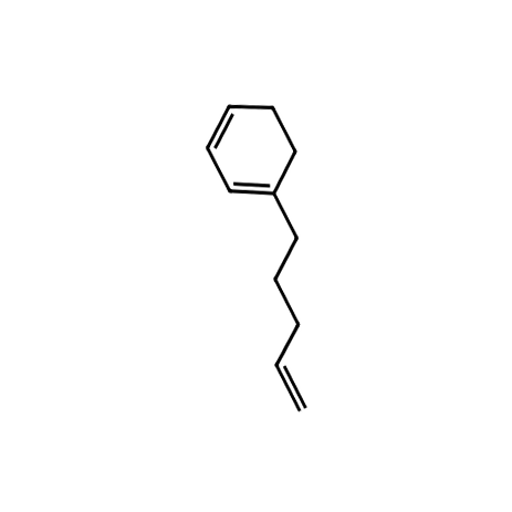 C=CCCCC1=CC=CCC1